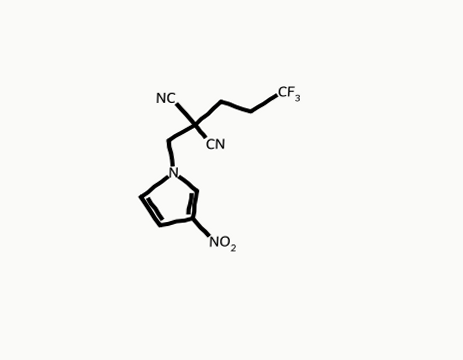 N#CC(C#N)(CCC(F)(F)F)Cn1ccc([N+](=O)[O-])c1